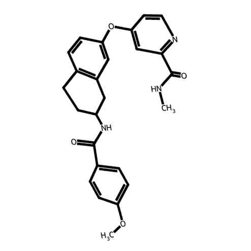 CNC(=O)c1cc(Oc2ccc3c(c2)CC(NC(=O)c2ccc(OC)cc2)CC3)ccn1